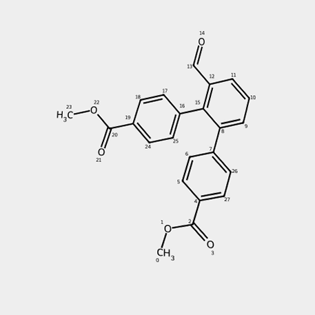 COC(=O)c1ccc(-c2cccc(C=O)c2-c2ccc(C(=O)OC)cc2)cc1